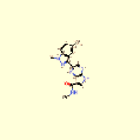 CC(C)NC(=O)c1c[nH]c2ncc(-c3nn(C)c4ccc(C(F)(F)F)cc34)nc12